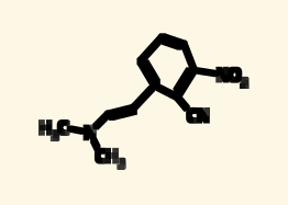 CN(C)C=Cc1cccc([N+](=O)[O-])c1C#N